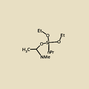 CCC[Si](OCC)(OCC)OC(C)NC